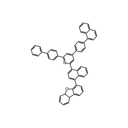 C1=CC2Oc3c(-c4ccc(-c5cc(-c6ccc(-c7cccc8ccccc78)cc6)cc(-c6ccc(-c7ccccc7)cc6)n5)c5ccccc45)cccc3C2C=C1